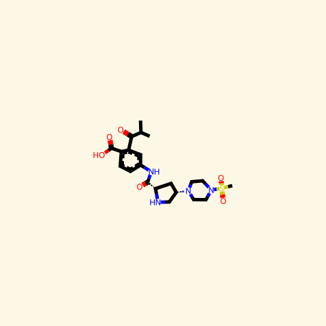 CC(C)C(=O)c1cc(NC(=O)[C@@H]2C[C@H](N3CCN(S(C)(=O)=O)CC3)CN2)ccc1C(=O)O